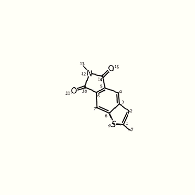 Cc1cc2cc3c(cc2s1)C(=O)N(C)C3=O